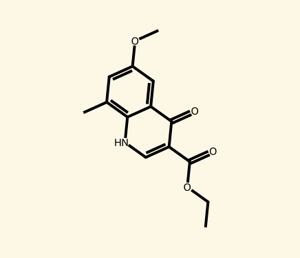 CCOC(=O)c1c[nH]c2c(C)cc(OC)cc2c1=O